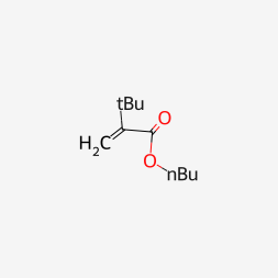 C=C(C(=O)OCCCC)C(C)(C)C